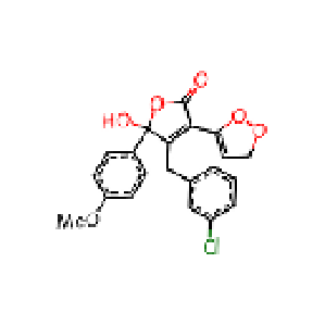 COc1ccc(C2(O)OC(=O)C(C3=CCOO3)=C2Cc2cccc(Cl)c2)cc1